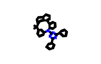 CC1(C)c2cccc(c2)N(c2nc(-c3ccccc3)nc(-c3ccccc3)n2)c2ccccc2-c2cccc3ccc1cc23